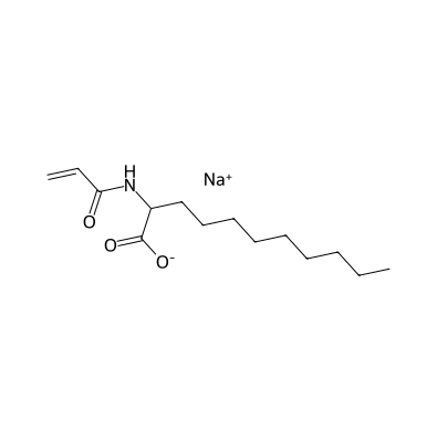 C=CC(=O)NC(CCCCCCCCC)C(=O)[O-].[Na+]